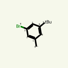 [CH2]c1cc(Br)cc(C(C)(C)C)c1